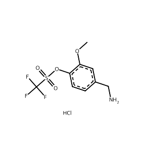 COc1cc(CN)ccc1OS(=O)(=O)C(F)(F)F.Cl